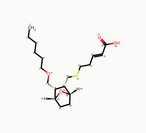 CCCCCCOC[C@@H]1[C@H](CSCC/C=C/C(=O)O)[C@@H]2CC[C@H]1O2